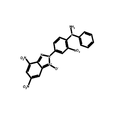 NN(c1ccccc1)c1ccc(-n2nc3c([N+](=O)[O-])cc([N+](=O)[O-])cc3[n+]2[O-])cc1[N+](=O)[O-]